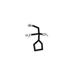 CC(C)(C)CC(C)(C)C1CCCC1